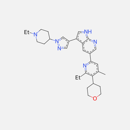 CCc1nc(-c2cnc3[nH]cc(-c4cnn(C5CCN(CC)CC5)c4)c3c2)cc(C)c1C1CCOCC1